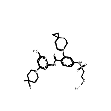 COCCS(=O)(=O)Nc1ccc(C(=O)Nc2nc(C)cc(N3CCC(F)(F)CC3)n2)c(N2CCC3(CC2)CC3)c1